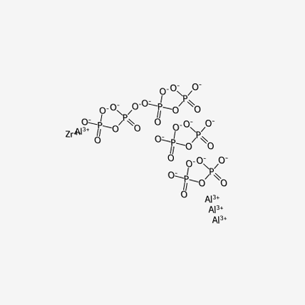 O=P([O-])([O-])OP(=O)([O-])[O-].O=P([O-])([O-])OP(=O)([O-])[O-].O=P([O-])([O-])OP(=O)([O-])[O-].O=P([O-])([O-])OP(=O)([O-])[O-].[Al+3].[Al+3].[Al+3].[Al+3].[Zr+4]